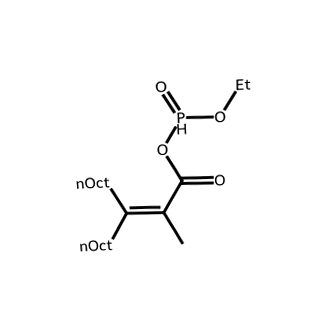 CCCCCCCCC(CCCCCCCC)=C(C)C(=O)O[PH](=O)OCC